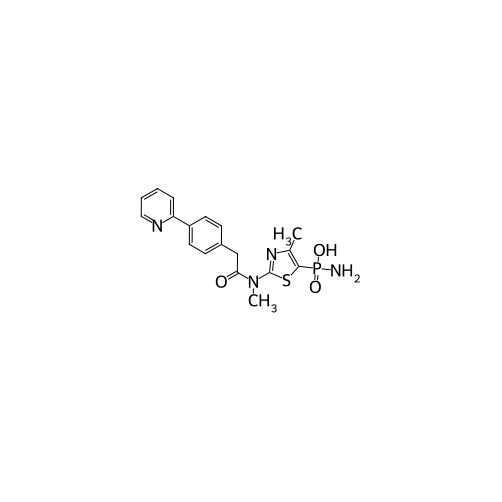 Cc1nc(N(C)C(=O)Cc2ccc(-c3ccccn3)cc2)sc1P(N)(=O)O